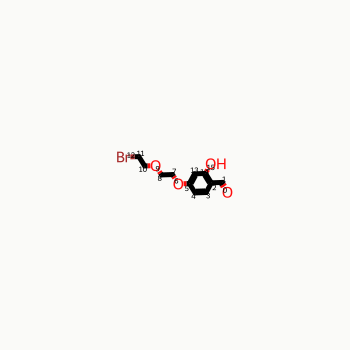 O=Cc1ccc(OCCOCCBr)cc1O